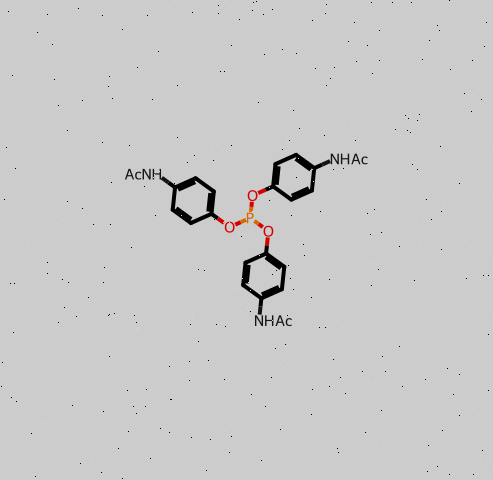 CC(=O)Nc1ccc(OP(Oc2ccc(NC(C)=O)cc2)Oc2ccc(NC(C)=O)cc2)cc1